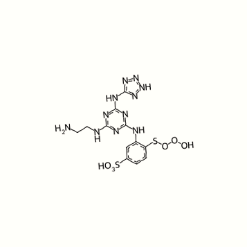 NCCNc1nc(Nc2nn[nH]n2)nc(Nc2cc(S(=O)(=O)O)ccc2SOOO)n1